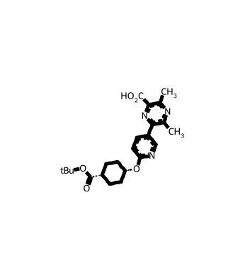 Cc1nc(C)c(-c2ccc(O[C@H]3CC[C@@H](C(=O)OC(C)(C)C)CC3)nc2)nc1C(=O)O